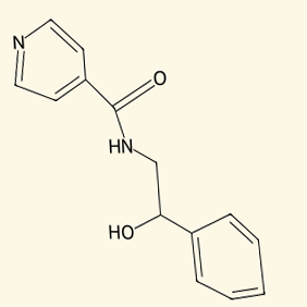 O=C(NCC(O)c1ccccc1)c1ccncc1